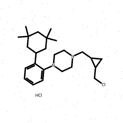 CC1(C)CC(c2ccccc2N2CCN(CC3CC3CCl)CC2)CC(C)(C)C1.Cl